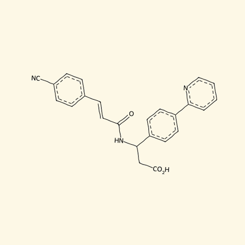 N#Cc1ccc(/C=C/C(=O)NC(CC(=O)O)c2ccc(-c3ccccn3)cc2)cc1